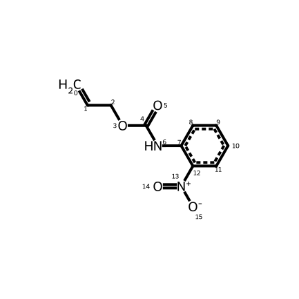 C=CCOC(=O)Nc1ccccc1[N+](=O)[O-]